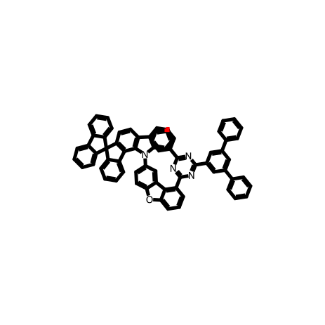 c1ccc(-c2cc(-c3ccccc3)cc(-c3nc(-c4ccccc4)nc(-c4cccc5oc6ccc(-n7c8ccccc8c8ccc9c(c87)-c7ccccc7C97c8ccccc8-c8ccccc87)cc6c45)n3)c2)cc1